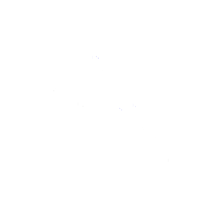 CCOC(=O)Cn1cc2cc(N)c(OC(C)C)cc2n1